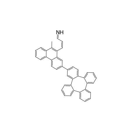 Cc1c(/C=C\C=N)c2cc(-c3ccc4c(c3)-c3ccccc3-c3ccccc3-c3ccccc3-4)ccc2c2ccccc12